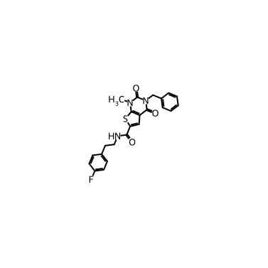 Cn1c(=O)n(Cc2ccccc2)c(=O)c2cc(C(=O)NCCc3ccc(F)cc3)sc21